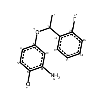 CC(Oc1ccc(Cl)c(N)c1)c1ccccc1F